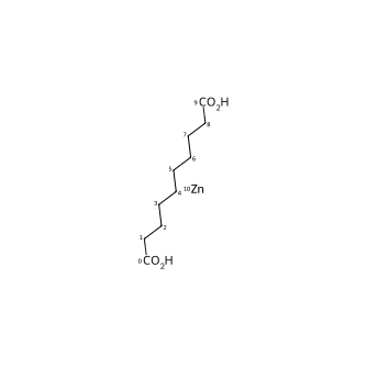 O=C(O)CCCCCCCCC(=O)O.[Zn]